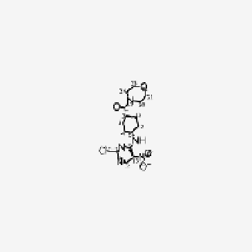 O=C([C@H]1CC[C@H](Nc2nc(Cl)ncc2[N+](=O)[O-])CC1)N1CCOCC1